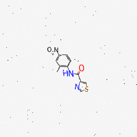 Cc1cc([N+](=O)[O-])ccc1NC(=O)c1cscn1